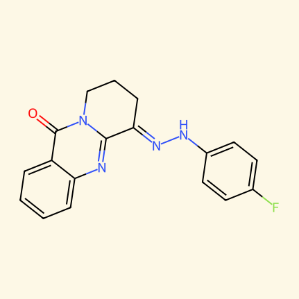 O=c1c2ccccc2nc2n1CCCC2=NNc1ccc(F)cc1